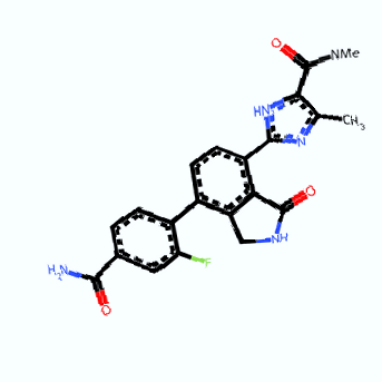 CNC(=O)c1[nH]c(-c2ccc(-c3ccc(C(N)=O)cc3F)c3c2C(=O)NC3)nc1C